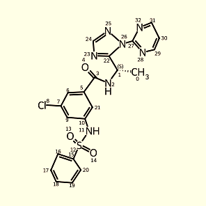 C[C@H](NC(=O)c1cc(Cl)cc(NS(=O)(=O)c2ccccc2)c1)c1ncnn1-c1ncccn1